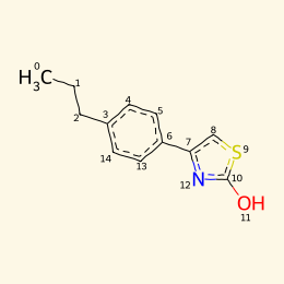 CCCc1ccc(-c2csc(O)n2)cc1